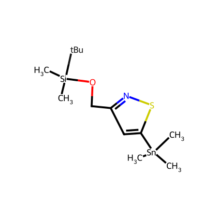 CC(C)(C)[Si](C)(C)OCc1c[c]([Sn]([CH3])([CH3])[CH3])sn1